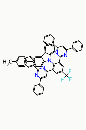 Cc1ccc(-c2ccc3c(c2)c2ccccc2n3-c2c(-c3cc(-c4ccccc4)nc(-c4ccccc4)n3)cc(C(F)(F)F)cc2-c2nc(-c3ccccc3)cc(-c3ccccc3)n2)cc1